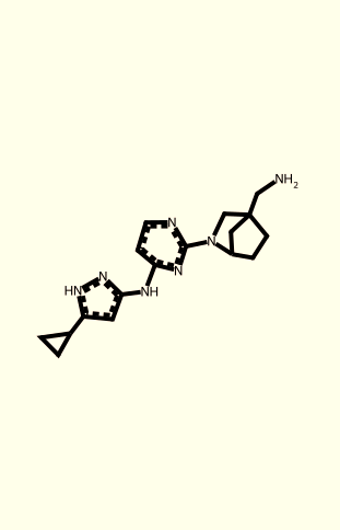 NCC12CCC(C1)N(c1nccc(Nc3cc(C4CC4)[nH]n3)n1)C2